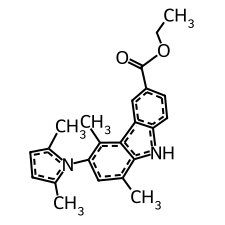 CCOC(=O)c1ccc2[nH]c3c(C)cc(-n4c(C)ccc4C)c(C)c3c2c1